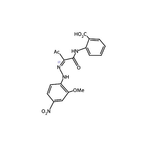 COc1cc([N+](=O)[O-])ccc1N/N=C(/C(C)=O)C(=O)Nc1ccccc1C(=O)O